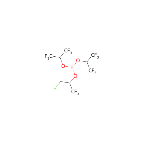 FCC(OB(OC(C(F)(F)F)C(F)(F)F)OC(C(F)(F)F)C(F)(F)F)C(F)(F)F